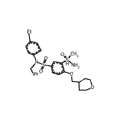 CCc1ccc(N(CC(C)C)S(=O)(=O)c2ccc(OCC3CCOCC3)c([SH](C)(N)=O)c2)cc1